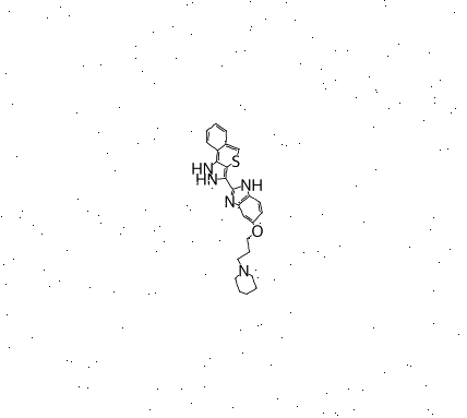 C1=c2ccccc2=C2NNC(c3nc4cc(OCCCN5CCCCC5)ccc4[nH]3)=C2S1